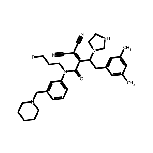 Cc1cc(C)cc(CC(C(C(=O)N(CCCF)c2cccc(CN3CCCCC3)c2)=C(C#N)C#N)N2CCNC2)c1